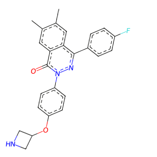 Cc1cc2c(-c3ccc(F)cc3)nn(-c3ccc(OC4CNC4)cc3)c(=O)c2cc1C